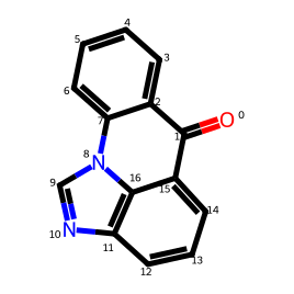 O=c1c2ccccc2n2cnc3cccc1c32